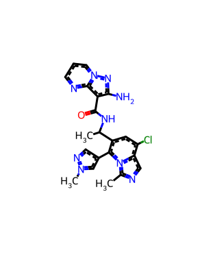 Cc1ncc2c(Cl)cc(C(C)NC(=O)c3c(N)nn4cccnc34)c(-c3cnn(C)c3)n12